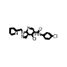 O=C(Nc1ccc(Cl)cc1)c1cnc2c(cnn2Cc2ccccn2)c1Cl